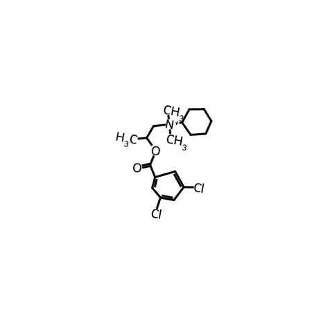 CC(C[N+](C)(C)C1CCCCC1)OC(=O)c1cc(Cl)cc(Cl)c1